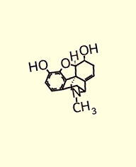 CN1CC[C@@]23C4=CC[C@H](O)[C@@H]2Oc2c(O)ccc(c23)CC41